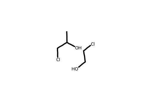 CC(O)CCl.OCCCl